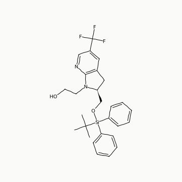 CC(C)(C)[Si](OC[C@@H]1Cc2cc(C(F)(F)F)cnc2N1CCO)(c1ccccc1)c1ccccc1